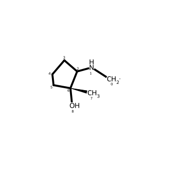 [CH2]NC1CCC[C@@]1(C)O